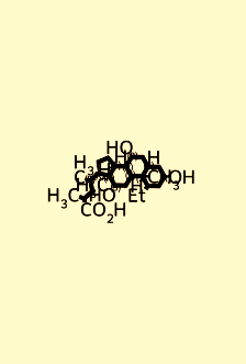 CCC1C[C@@H](O)C[C@H]2C[C@@H](O)[C@@H]3[C@H](C[C@H](O)[C@]4(C)[C@@H]([C@H](C)CC(C)C(=O)O)CC[C@@H]34)[C@@]12C